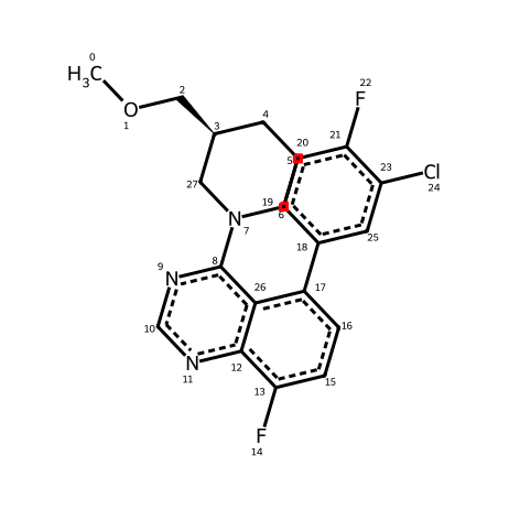 COC[C@H]1CCCN(c2ncnc3c(F)ccc(-c4ccc(F)c(Cl)c4)c23)C1